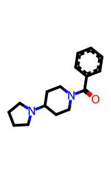 O=C(c1ccccc1)N1CCC(N2CCCC2)CC1